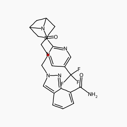 NC(=O)c1cccc2cn(CCCC(=O)N3C4CC3CN(c3ncc(C(F)(F)F)cn3)C4)nc12